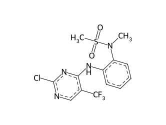 CN(c1ccccc1Nc1nc(Cl)ncc1C(F)(F)F)S(C)(=O)=O